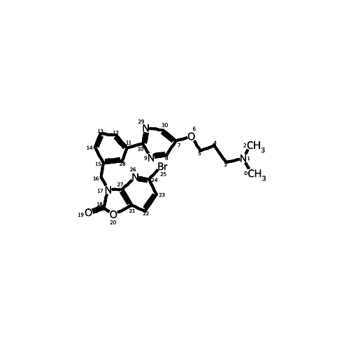 CN(C)CCCOc1cnc(-c2cccc(Cn3c(=O)oc4ccc(Br)nc43)c2)nc1